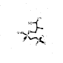 COP(=O)(CCS(=O)(=O)F)OCC(C)C(C#N)C#N